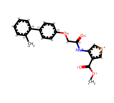 COC(=O)c1cscc1NC(=O)COc1ccc(-c2ccccc2C)cc1